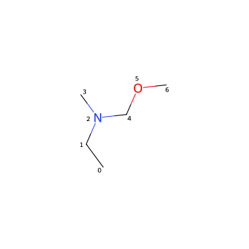 CCN(C)COC